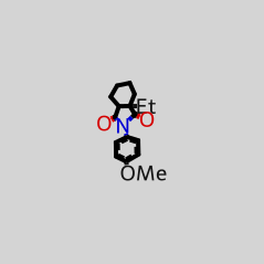 CCC12CCCCC1C(=O)N(c1ccc(OC)cc1)C2=O